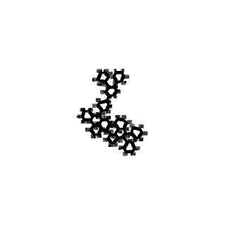 c1ccc(-c2ccc(-c3ccc(N(c4ccc(-c5cccc6c(-c7ccccc7)c(-c7ccccc7)c7ccccc7c56)cc4)c4ccccc4-c4ccccc4)cc3)cc2-c2ccccc2)cc1